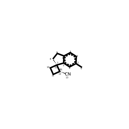 Cc1ccc2c(c1)[C@]1(CC2)CC[C@H]1C#N